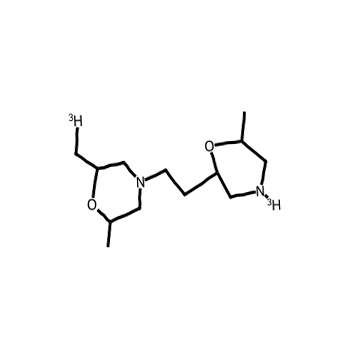 [3H]CC1CN(CCC2CN([3H])CC(C)O2)CC(C)O1